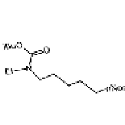 CCCCCCCCCCCCCCN(CC)C(=O)OCC(C)C